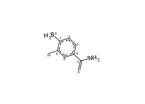 Bc1ccc(C(=C)N)cc1C